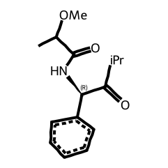 COC(C)C(=O)N[C@@H](C(=O)C(C)C)c1ccccc1